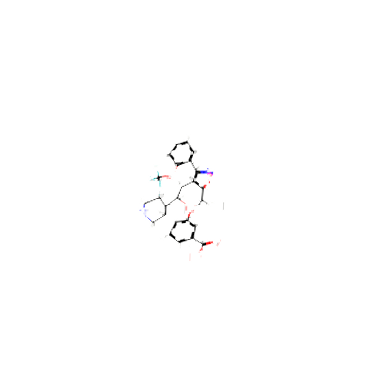 CC(C)c1onc(-c2ccccc2OC(F)(F)F)c1CC(Oc1cccc(C(=O)O)c1)C1CCNCC1